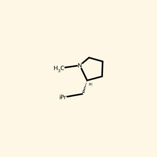 CC(C)C[C@H]1CCCN1C